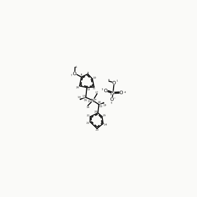 COS(=O)(=O)[O-].COc1cccc([C@H](C)[N+](C)(C)[C@@H](C)c2ccccc2)c1